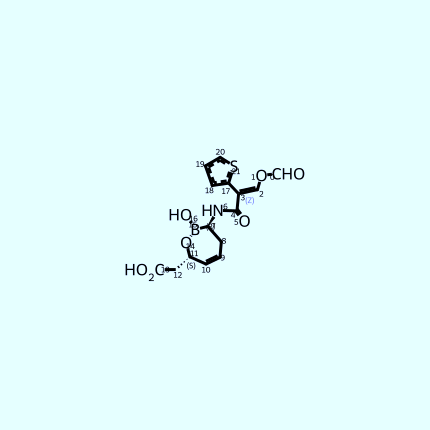 O=CO/C=C(/C(=O)N[C@H]1CC=C[C@H](CC(=O)O)OB1O)c1cccs1